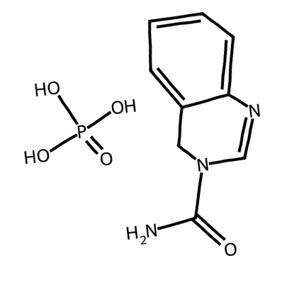 NC(=O)N1C=Nc2ccccc2C1.O=P(O)(O)O